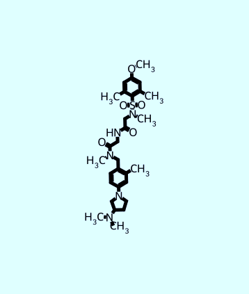 COc1cc(C)c(S(=O)(=O)N(C)CC(=O)NCC(=O)N(C)Cc2ccc(N3CCC(N(C)C)C3)cc2C)c(C)c1